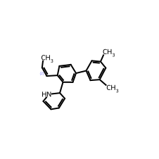 C/C=C\c1ccc(-c2cc(C)cc(C)c2)cc1C1C=CC=CN1